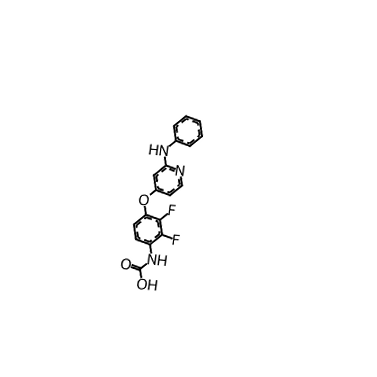 O=C(O)Nc1ccc(Oc2ccnc(Nc3ccccc3)c2)c(F)c1F